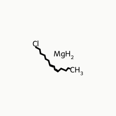 CCCC/C=C\C=C\CCCCCCCl.[MgH2]